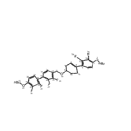 CCCCOc1ccc(C2=CCC(OCc3ccc(-c4ccc(OCCCC)c(F)c4F)c(F)c3F)CC2)c(F)c1F